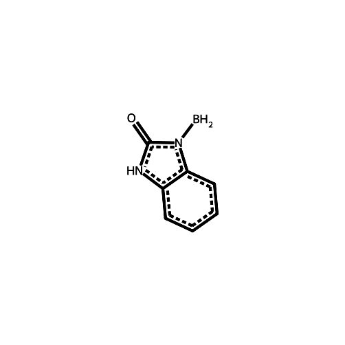 Bn1c(=O)[nH]c2ccccc21